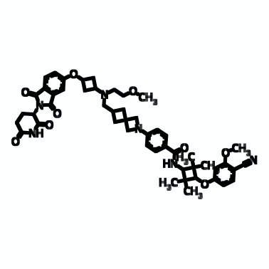 COCCN(CC1CC2(C1)CN(c1ccc(C(=O)NC3C(C)(C)C(Oc4ccc(C#N)c(OC)c4)C3(C)C)cc1)C2)C1CC(Oc2ccc3c(c2)C(=O)N([C@@H]2CCC(=O)NC2=O)C3=O)C1